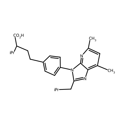 Cc1cc(C)c2nc(CC(C)C)n(-c3ccc(CCC(C(=O)O)C(C)C)cc3)c2n1